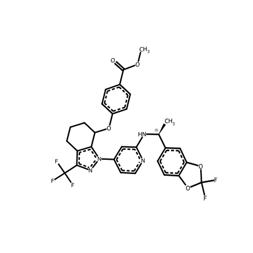 COC(=O)c1ccc(OC2CCCc3c(C(F)(F)F)nn(-c4ccnc(N[C@@H](C)c5ccc6c(c5)OC(F)(F)O6)c4)c32)cc1